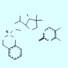 Nc1nc(=O)n([C@@H]2O[C@@](COP3(=O)OCc4ccccc4O3)(C(F)F)[C@@H](O)C2(F)F)cc1Cl